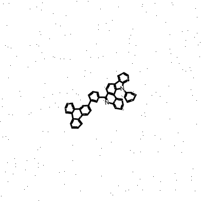 c1ccc(-n2c3ccccc3c3ccc4c(-c5cccc(-c6ccc7c8ccccc8c8ccccc8c7c6)c5)nc5ccccc5c4c32)cc1